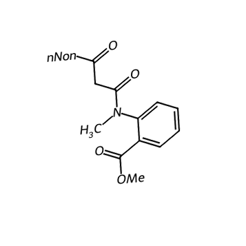 CCCCCCCCCC(=O)CC(=O)N(C)c1ccccc1C(=O)OC